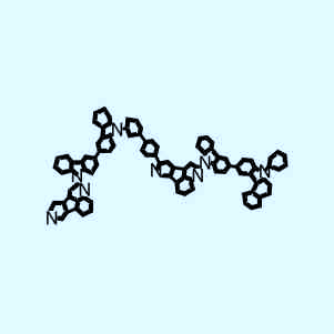 c1ccc(-n2c3ccc(-c4ccc5c(c4)c4ccccc4n5-c4cc5c6c(cccc6n4)-c4cnc(-c6ccc(-c7cccc(-n8c9ccccc9c9cc(-c%10ccc%11c(c%10)c%10ccccc%10n%11-c%10cc%11c%12c(cccc%12n%10)-c%10cnccc%10-%11)ccc98)c7)cc6)cc4-5)cc3c3c4ccccc4ccc32)cc1